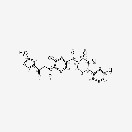 Cc1cnc(C(=O)C[S+]([O-])c2ccc(C(=O)N3CCN(c4cccc(Cl)c4)[C@@H](C)[C@@H]3C)cc2Cl)o1